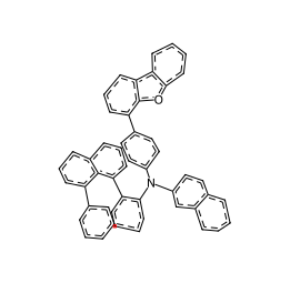 c1ccc(-c2cccc3cccc(-c4ccccc4N(c4ccc(-c5cccc6c5oc5ccccc56)cc4)c4ccc5ccccc5c4)c23)cc1